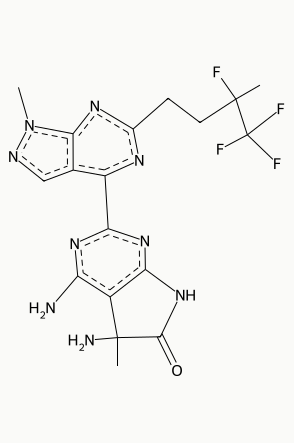 Cn1ncc2c(-c3nc(N)c4c(n3)NC(=O)C4(C)N)nc(CCC(C)(F)C(F)(F)F)nc21